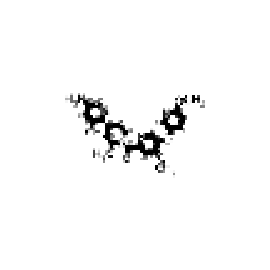 COc1ccc(Oc2cnc(C(=O)N3CC[C@H](c4nnc(N)cc4C)C[C@@H]3C)cc2OC)cn1